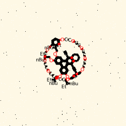 [C]#Cc1c2c(c(C#Cc3cc4[c]cc3OCCOCCOCCOCCOc3ccc(cc3)OCCOCCOCCOCCO4)c3c4cc(OCC(CC)CCCC)c(OCC(CC)CCCC)cc4c4cc(OCC(CC)CCCC)c(OCC(CC)CCCC)cc4c13)C1CCC2CC1